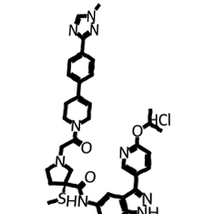 CS[C@@]1(C(=O)Nc2ccc3[nH]nc(-c4ccc(OC(C)C)nc4)c3c2)CCN(CC(=O)N2CC=C(c3ccc(-c4ncn(C)n4)cc3)CC2)C1.Cl